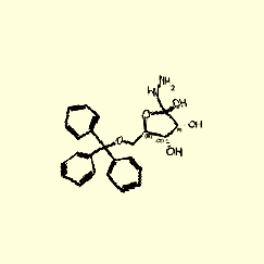 NNC1(O)O[C@H](COC(c2ccccc2)(c2ccccc2)c2ccccc2)[C@@H](O)[C@H]1O